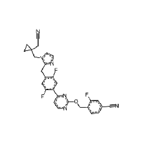 N#CCC1(Cn2ccnc2Cc2cc(F)c(-c3ccnc(OCc4ccc(C#N)cc4F)n3)cc2F)CC1